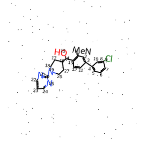 CNc1cc(-c2cccc(Cl)c2)ccc1C(O)C1CCN(c2ncccn2)CC1